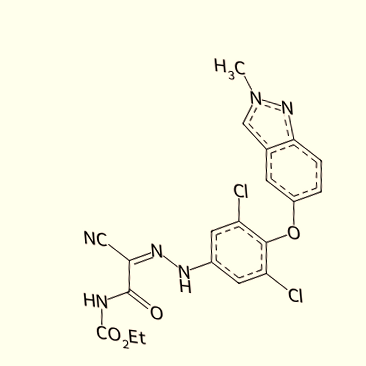 CCOC(=O)NC(=O)C(C#N)=NNc1cc(Cl)c(Oc2ccc3nn(C)cc3c2)c(Cl)c1